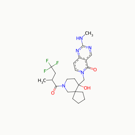 CNc1ncc2c(=O)n(CC3(O)CCN(C(=O)C(C)CC(F)(F)F)CC34CCCC4)ccc2n1